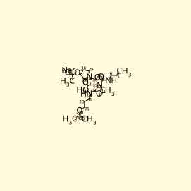 CC(=O)[O-].CCCNC(=O)N(C)C(C(=O)O)(C(=O)NCCCOC(C)C)C(=O)N1CCCC1.[Na+]